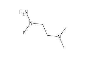 CN(C)CCN(N)I